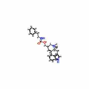 CN1CC(COC(=O)NCCc2ccccc2)C=C2c3cccc4[nH]cc(c34)C[C@@H]21